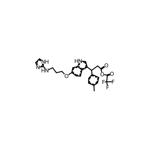 Cc1ccc(C(CC(=O)OC(=O)C(F)(F)F)c2c[nH]c3cc(OCCCNc4ncc[nH]4)ccc23)cc1